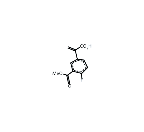 C=C(C(=O)O)c1ccc(F)c(C(=O)OC)c1